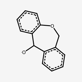 [O]C1c2ccccc2COc2ccccc21